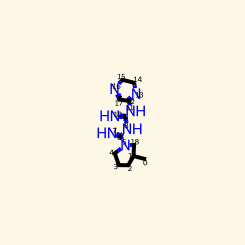 CC1CCCN(C(=N)NC(=N)NC2=NCCN=C2)C1